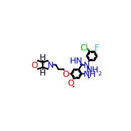 CNc1cc(OC)c(OCCCN2C[C@H]3COC[C@@H]3C2)cc1C(=N)N(N)c1ccc(F)c(Cl)c1